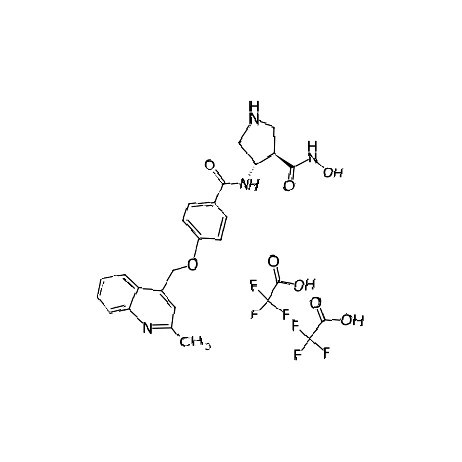 Cc1cc(COc2ccc(C(=O)N[C@@H]3CNC[C@H]3C(=O)NO)cc2)c2ccccc2n1.O=C(O)C(F)(F)F.O=C(O)C(F)(F)F